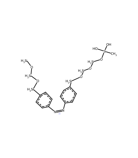 C[Si](O)(O)O[SiH2]O[SiH2]O[SiH2]c1ccc(/N=N\c2ccc([SiH2]O[SiH2]O[SiH3])cc2)cc1